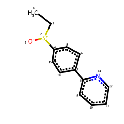 CC[S+]([O-])c1ccc(-c2c[c]ccn2)cc1